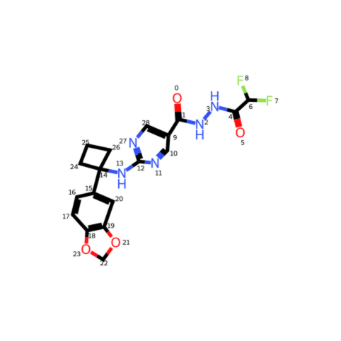 O=C(NNC(=O)C(F)F)c1cnc(NC2(c3ccc4c(c3)OCO4)CCC2)nc1